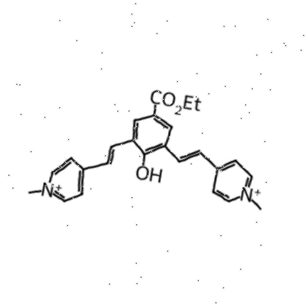 CCOC(=O)c1cc(/C=C/c2cc[n+](C)cc2)c(O)c(/C=C/c2cc[n+](C)cc2)c1